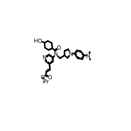 CC(C)OC(=O)/C=C/c1cncc(N(CC2CCN(c3ccc(N(C)C)cc3)C2)C(=O)C2CCC(O)CC2)c1